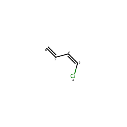 C=C/C=[C]\Cl